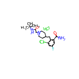 CC(C)(C)NC(=O)CN1CCC(Cc2c(Cl)cc(F)cc2C(N)=O)CC1.Cl